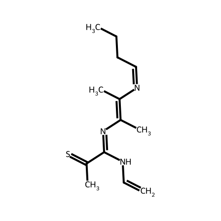 C=CN\C(=N/C(C)=C(C)/N=C\CCC)C(C)=S